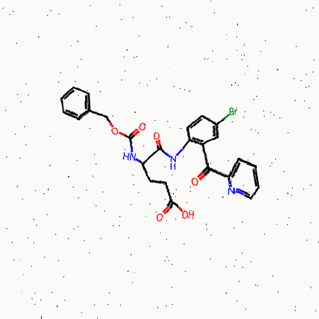 O=C(O)CCC(NC(=O)OCc1ccccc1)C(=O)Nc1ccc(Br)cc1C(=O)c1ccccn1